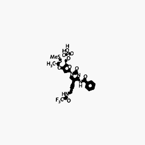 CSS[C@@H](C)OC1C[C@H](n2cc(C#CCNC(=O)C(F)(F)F)c(NC(=O)c3ccccc3)nc2=O)O[C@@H]1COP(=O)(O)O